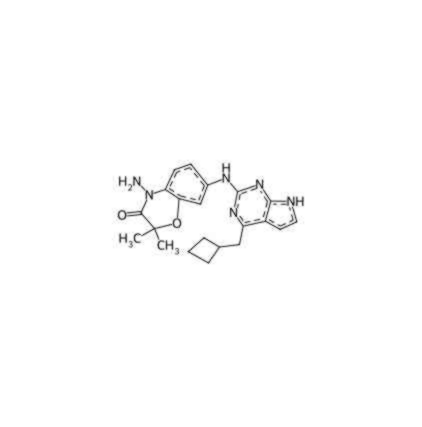 CC1(C)Oc2cc(Nc3nc(CC4CCC4)c4cc[nH]c4n3)ccc2N(N)C1=O